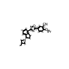 CC1CN([C@H]2CCc3c(-c4noc(-c5ccc(OC(C)C)c(C#N)c5)n4)cccc32)C1